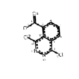 O=C(Cl)c1cccc2c(Cl)nnc(Cl)c12